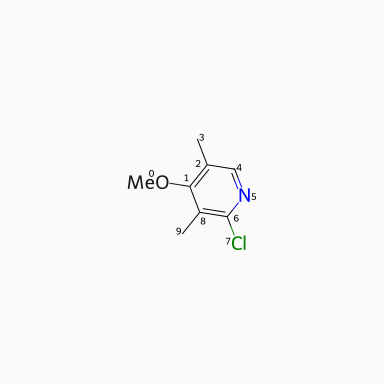 COc1c(C)cnc(Cl)c1C